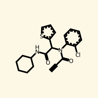 C#CC(=O)N(c1ccccc1Cl)C(C(=O)NC1CCCCC1)c1cccs1